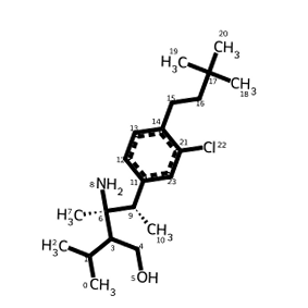 CC(C)C(CO)[C@@](C)(N)[C@@H](C)c1ccc(CCC(C)(C)C)c(Cl)c1